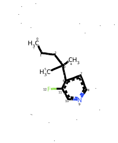 CCCC(C)(C)c1ccncc1F